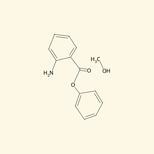 CO.Nc1ccccc1C(=O)Oc1ccccc1